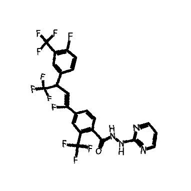 O=C(NNc1ncccn1)c1ccc(C(F)=CC(c2ccc(F)c(C(F)(F)F)c2)C(F)(F)F)cc1C(F)(F)F